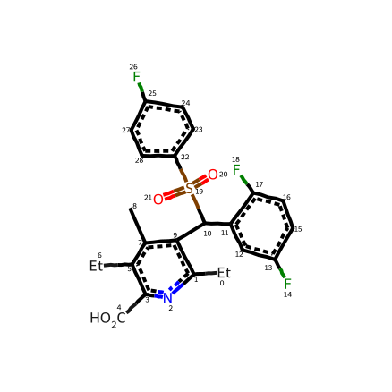 CCc1nc(C(=O)O)c(CC)c(C)c1C(c1cc(F)ccc1F)S(=O)(=O)c1ccc(F)cc1